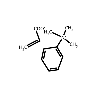 C=CC(=O)[O-].C[N+](C)(C)c1ccccc1